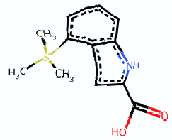 CS(C)(C)c1cccc2[nH]c(C(=O)O)cc12